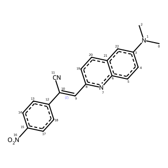 CN(C)c1ccc2nc(/C=C(\C#N)c3ccc([N+](=O)[O-])cc3)ccc2c1